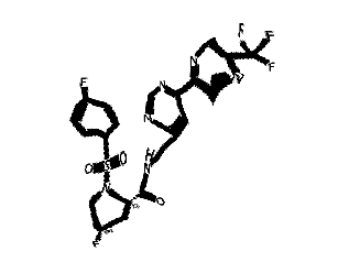 O=C(NCc1cc(-c2cnc(C(F)(F)F)cn2)ncn1)[C@@H]1C[C@@H](F)CN1S(=O)(=O)c1ccc(F)cc1